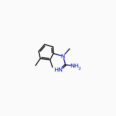 Cc1cccc(N(C)C(=N)N)c1C